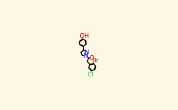 O=C(Cc1cc(Cl)ccc1Br)N1CCC(c2ccc(O)cc2)=N1